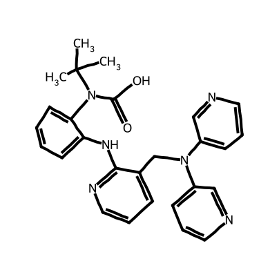 CC(C)(C)N(C(=O)O)c1ccccc1Nc1ncccc1CN(c1cccnc1)c1cccnc1